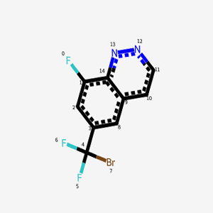 Fc1cc(C(F)(F)Br)cc2ccnnc12